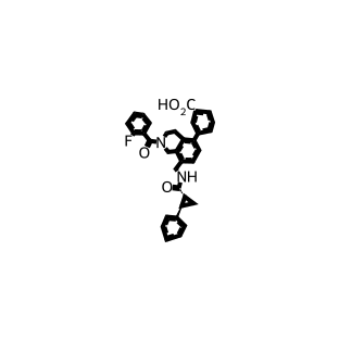 O=C(O)c1cccc(-c2ccc(CNC(=O)[C@@H]3C[C@H]3c3ccccc3)c3c2CCN(C(=O)c2ccccc2F)C3)c1